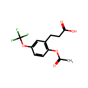 CC(=O)Oc1ccc(OC(F)(F)F)cc1CCC(=O)O